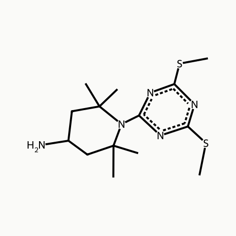 CSc1nc(SC)nc(N2C(C)(C)CC(N)CC2(C)C)n1